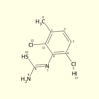 Cc1ccc(Cl)c(N=C(N)S)c1Cl.I